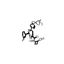 O=C(N[C@@H]1CC[C@H]1O)c1cc(-c2ccc(OC(F)(F)F)cc2)nc(-c2cccc(F)c2)n1